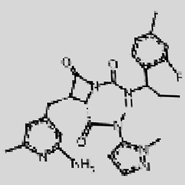 CCC(NC(=O)N1C(=O)[C@H](Cc2cc(C)nc(N)c2)[C@H]1C(=O)N(C)c1ccnn1C)c1ccc(C)cc1F